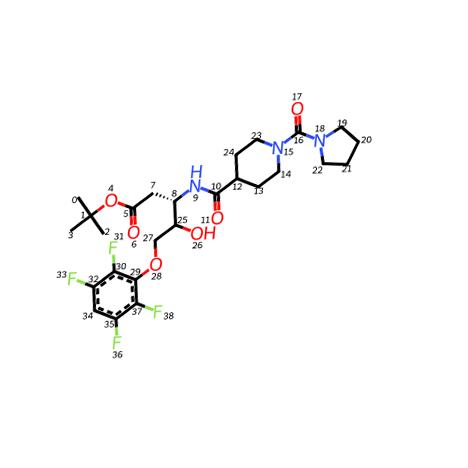 CC(C)(C)OC(=O)C[C@H](NC(=O)C1CCN(C(=O)N2CCCC2)CC1)C(O)COc1c(F)c(F)cc(F)c1F